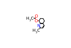 CC(=O)OC1CCCc2ccc(C)nc21